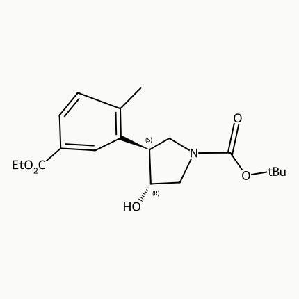 CCOC(=O)c1ccc(C)c([C@H]2CN(C(=O)OC(C)(C)C)C[C@@H]2O)c1